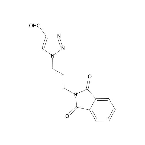 O=Cc1cn(CCCN2C(=O)c3ccccc3C2=O)nn1